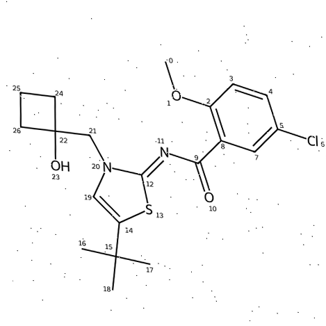 COc1ccc(Cl)cc1C(=O)/N=c1\sc(C(C)(C)C)cn1CC1(O)CCC1